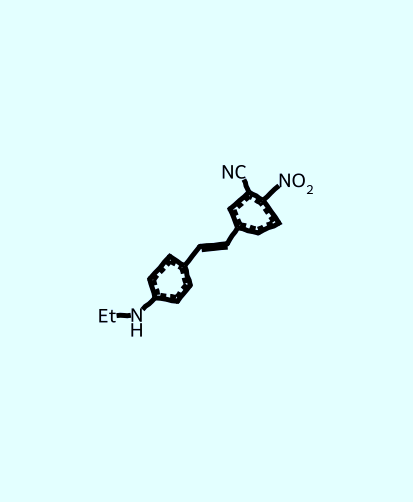 CCNc1ccc(C=Cc2ccc([N+](=O)[O-])c(C#N)c2)cc1